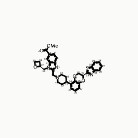 COC(=O)c1ccc2nc(CN3CCC(c4cccc5c4OC[C@@H](c4nc6ccccc6s4)O5)CC3)n(C[C@@H]3CCO3)c2c1